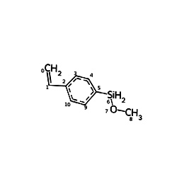 C=Cc1ccc([SiH2]OC)cc1